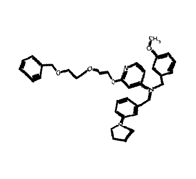 COc1cccc(CN(Cc2cccc(N3CCCC3)c2)c2ccnc(OCCOCCOCc3ccccc3)c2)c1